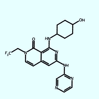 O=c1c2c(NC3CCC(O)CC3)nc(Nc3cnccn3)cc2ccn1CC(F)(F)F